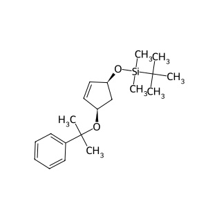 CC(C)(O[C@H]1C=C[C@@H](O[Si](C)(C)C(C)(C)C)C1)c1ccccc1